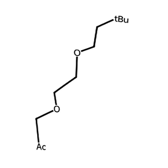 CC(=O)COCCOCCC(C)(C)C